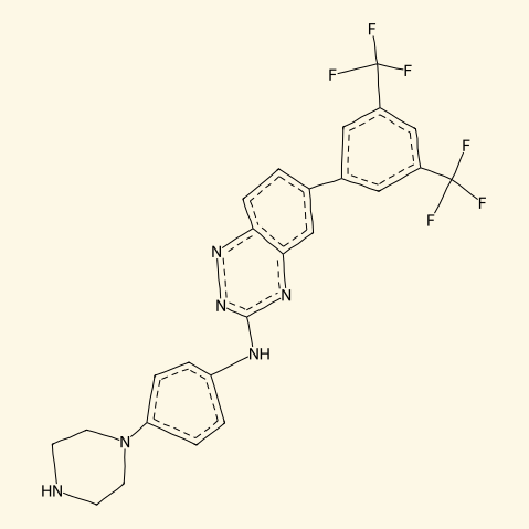 FC(F)(F)c1cc(-c2ccc3nnc(Nc4ccc(N5CCNCC5)cc4)nc3c2)cc(C(F)(F)F)c1